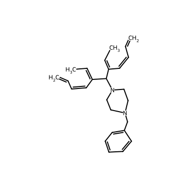 C=C/C=C\C(=C/C)C(C(/C=C\C=C)=C/C)N1CCN(Cc2ccccc2)CC1